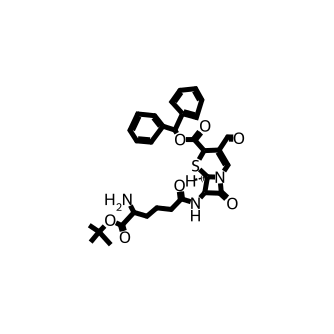 CC(C)(C)OC(=O)C(N)CCCC(=O)NC1C(=O)N2C=C(C=O)C(C(=O)OC(c3ccccc3)c3ccccc3)S[C@H]12